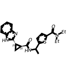 CCN(CC)C(=O)c1ccc(C(C)NC(=O)[C@H]2C[C@@H]2c2nc3ccccc3[nH]2)s1